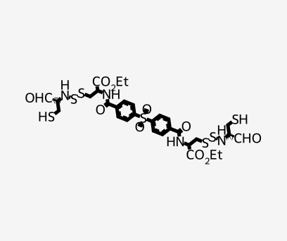 CCOC(=O)C(CSSN[C@H](C=O)CS)NC(=O)c1ccc(S(=O)(=O)c2ccc(C(=O)NC(CSSN[C@H](C=O)CS)C(=O)OCC)cc2)cc1